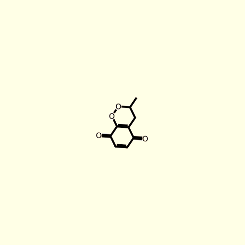 CC1CC2=C(OO1)C(=O)C=CC2=O